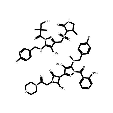 COc1c(CS(=O)(=O)C2C(=O)NCC2C)nn(C(=O)C(C)(C)CO)c1NCc1ccc(F)cc1.COc1ccccc1C(=O)n1nc(C2C(=O)N(CC(=O)N3CCOCC3)C2C(F)(F)F)c(OC)c1N(C)Cc1ccc(F)cc1